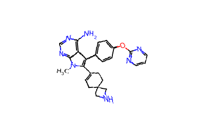 Cn1c(C2=CCC3(CC2)CNC3)c(-c2ccc(Oc3ncccn3)cc2)c2c(N)ncnc21